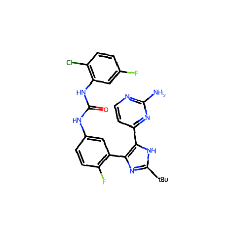 CC(C)(C)c1nc(-c2cc(NC(=O)Nc3cc(F)ccc3Cl)ccc2F)c(-c2ccnc(N)n2)[nH]1